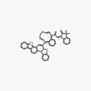 C=C(/C=C1\C(=C)C(C)(C)c2ccccc21)C1=c2\cccc\c2=C(C2=Cc3c(ccc4c3oc3ccccc34)C3c4ccccc4SC23)\C=C\CC\C=C\1